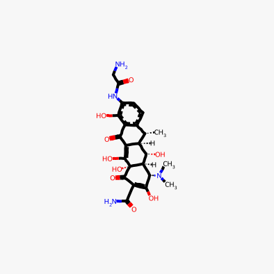 C[C@H]1c2ccc(NC(=O)CN)c(O)c2C(=O)C2=C(O)[C@]3(O)C(=O)C(C(N)=O)=C(O)[C@@H](N(C)C)[C@@H]3[C@@H](O)[C@@H]21